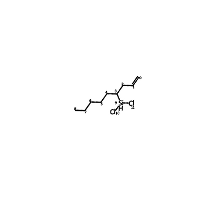 C=CCC(CCCCC)[SiH](Cl)Cl